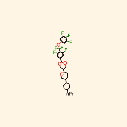 CCCC1CCC(C2CCC(C3COC(c4cc(F)c(C(F)(F)Oc5cc(F)c(F)c(F)c5)c(F)c4)OC3)OC2)CC1